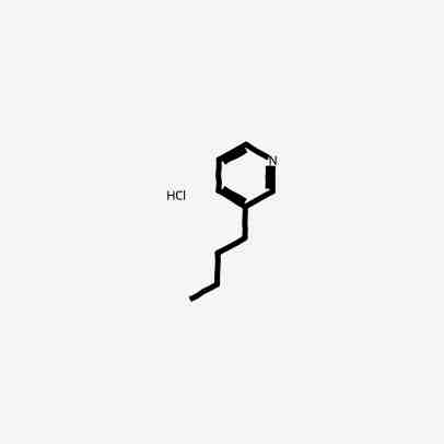 CCCCc1cccnc1.Cl